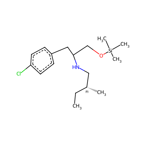 CC[C@@H](C)CNC(CO[Si](C)(C)C)Cc1ccc(Cl)cc1